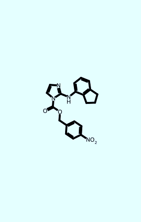 O=C(OCc1ccc([N+](=O)[O-])cc1)n1ccnc1Nc1cccc2c1CCC2